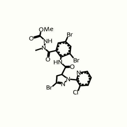 COC(=O)NN(C)C(=O)c1cc(Br)cc(Br)c1NC(=O)C1CC(Br)=NN1c1ncccc1Cl